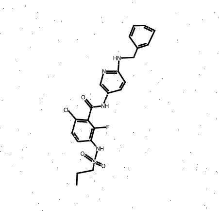 CCCS(=O)(=O)Nc1ccc(Cl)c(C(=O)Nc2ccc(NCc3ccccc3)nc2)c1F